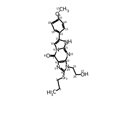 CCCSc1nc2c(=O)n3cc(-c4ccc(OC)cc4)[nH]c3nc2n1CCO